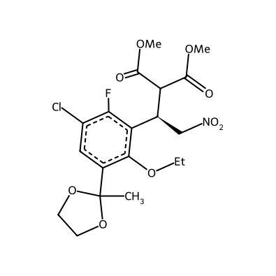 CCOc1c(C2(C)OCCO2)cc(Cl)c(F)c1[C@H](C[N+](=O)[O-])C(C(=O)OC)C(=O)OC